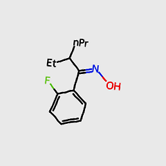 CCCC(CC)/C(=N/O)c1ccccc1F